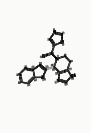 O=C(c1cnco1)N1CCc2[nH]cnc2[C@@H]1c1cc2ccccc2o1